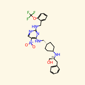 O=[N+]([O-])c1cnc(NCc2ccccc2OC(F)(F)F)nc1NC[C@H]1CC[C@H](N[C@H](CO)Cc2ccccc2)CC1